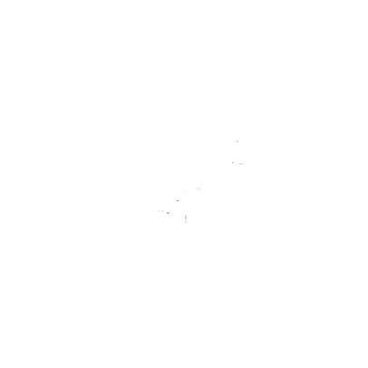 C=CC(CCC(=O)O)(NC(=O)OCc1ccccc1)C(=O)O